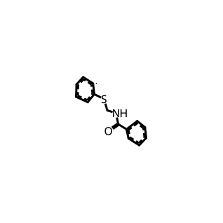 O=C(NCSc1[c]cccc1)c1ccccc1